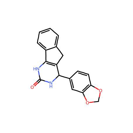 O=C1NC2=C(Cc3ccccc32)C(c2ccc3c(c2)OCO3)N1